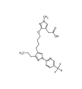 CCCc1nn(-c2ccc(C(F)(F)F)cn2)cc1CCCCOc1nn(C)cc1CC(=O)O